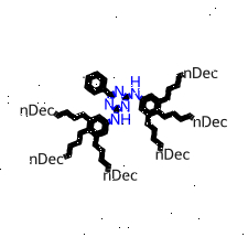 CCCCCCCCCCCCCCc1cc(Nc2nc(Nc3cc(CCCCCCCCCCCCCC)c(CCCCCCCCCCCCCC)c(CCCCCCCCCCCCCC)c3)nc(-c3cc[c]cc3)n2)cc(CCCCCCCCCCCCCC)c1CCCCCCCCCCCCCC